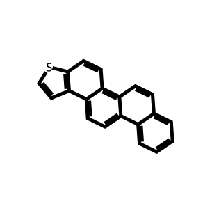 c1ccc2c(c1)ccc1c2ccc2c3ccsc3ccc21